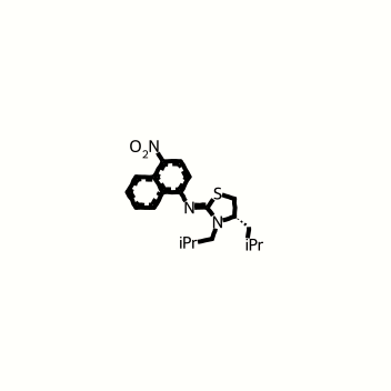 CC(C)C[C@H]1CSC(=Nc2ccc([N+](=O)[O-])c3ccccc23)N1CC(C)C